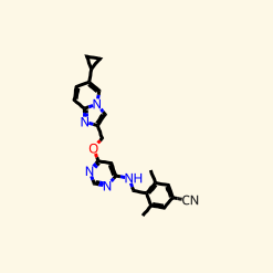 Cc1cc(C#N)cc(C)c1CNc1cc(OCc2cn3cc(C4CC4)ccc3n2)ncn1